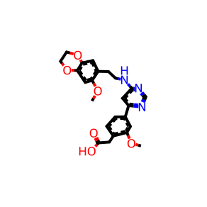 COc1cc2c(cc1CCNc1cc(-c3ccc(CC(=O)O)c(OC)c3)ncn1)OCCO2